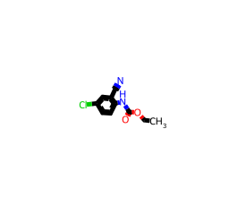 CCOC(=O)Nc1ccc(Cl)cc1C#N